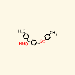 Cc1ccc(OOCc2ccc(C(OO)c3ccc(C)cc3)cc2)cc1